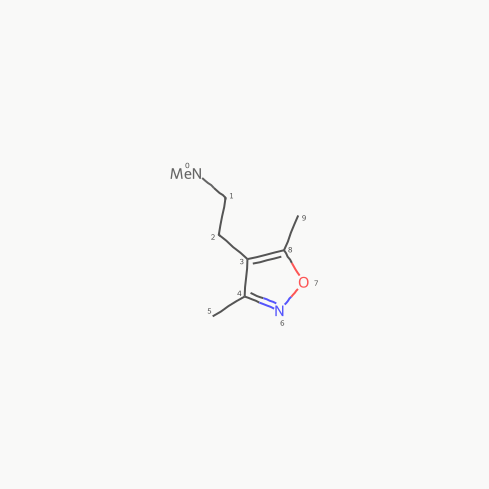 [CH2-][NH2+]CCc1c(C)noc1C